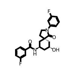 O=C(N[C@@H]1C[C@@H](O)C[C@@]2(CCN(c3cccc(F)c3)C2=O)C1)c1cccc(F)c1